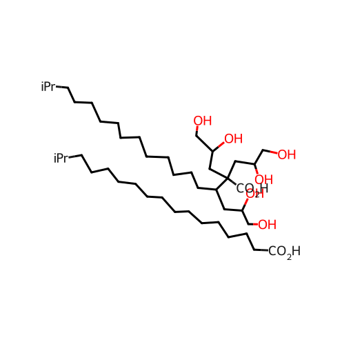 CC(C)CCCCCCCCCCCCC(CC(O)CO)C(CC(O)CO)(CC(O)CO)C(=O)O.CC(C)CCCCCCCCCCCCCCC(=O)O